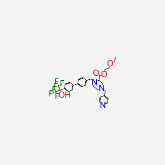 CCOCCOC(=O)C1CN(Cc2ccncc2)CCN1Cc1ccc(-c2ccc(C(O)(C(F)(F)F)C(F)(F)F)cc2)cc1